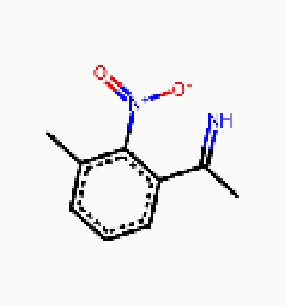 CC(=N)c1cccc(C)c1[N+](=O)[O-]